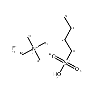 CCCCS(=O)(=O)O.C[N+](C)(C)C.[F-]